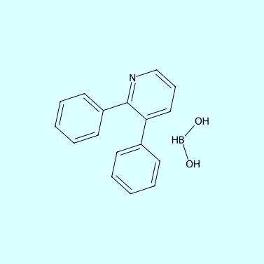 OBO.c1ccc(-c2cccnc2-c2ccccc2)cc1